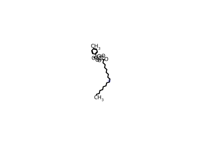 CCCCCCCC/C=C\CCCCCCCC(=O)S(=O)(=O)OS(=O)(=O)c1ccc(C)cc1